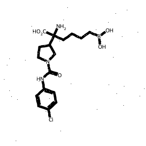 NC(CCCCB(O)O)(C(=O)O)C1CCN(C(=O)Nc2ccc(Cl)cc2)C1